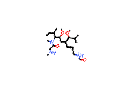 CCC(C)C(C(CC(CCCNC=O)C(OC)C(C)C)OC)N(C)C(=O)CNC